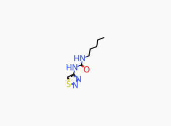 CCCCCNC(=O)Nc1csnn1